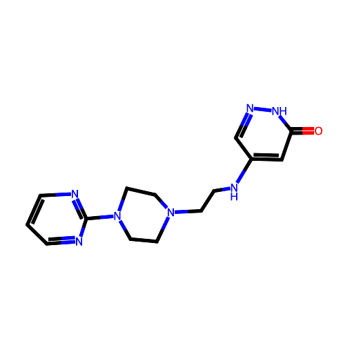 O=c1cc(NCCN2CCN(c3ncccn3)CC2)cn[nH]1